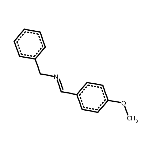 COc1ccc(C=NCc2ccccc2)cc1